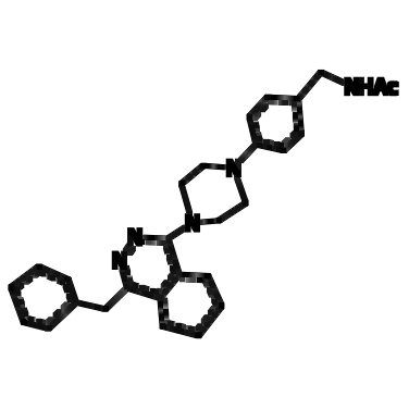 CC(=O)NCc1ccc(N2CCN(c3nnc(Cc4ccccc4)c4ccccc34)CC2)cc1